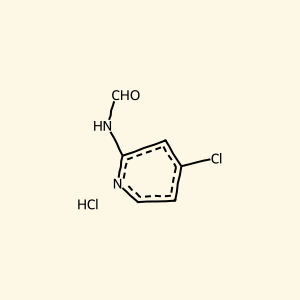 Cl.O=CNc1cc(Cl)ccn1